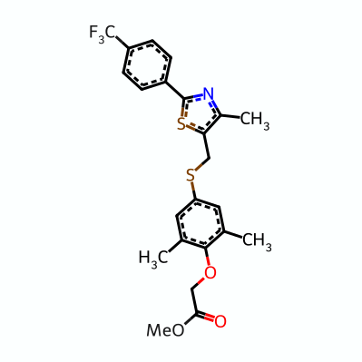 COC(=O)COc1c(C)cc(SCc2sc(-c3ccc(C(F)(F)F)cc3)nc2C)cc1C